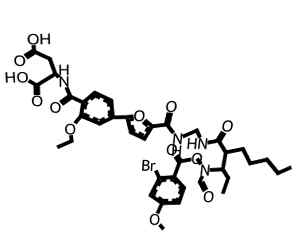 CCCCCC(C(=O)NCNC(=O)c1ccc(-c2ccc(C(=O)NC(CC(=O)O)C(=O)O)c(OCC)c2)o1)C(CC)N(C=O)OC(=O)c1ccc(OC)cc1Br